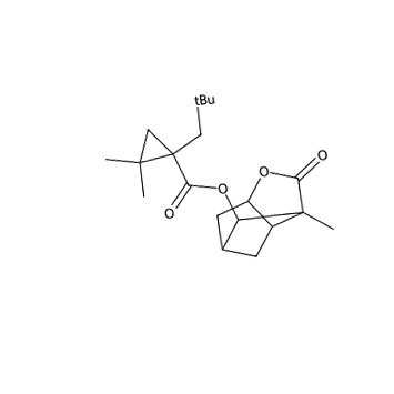 CC(C)(C)CC1(C(=O)OC2C3CC4OC(=O)C2(C)C4C3)CC1(C)C